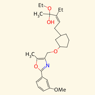 CCOC(C)(O)C(=CCC1CCCC(OCc2nc(-c3cccc(OC)c3)oc2C)C1)CC